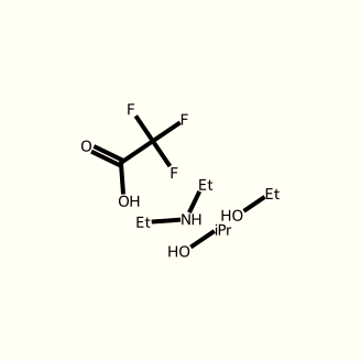 CC(C)O.CCNCC.CCO.O=C(O)C(F)(F)F